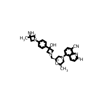 [2H]c1ccc2c(N3C[C@H](CN4CC(O)(c5ccc(N6CC(C)(N)C6)cc5)C4)O[C@H](C)C3)ccc(C#N)c2n1